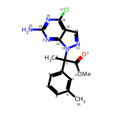 COC(=O)C(C)(c1cccc(C)c1)n1ncc2c(Cl)nc(N)nc21